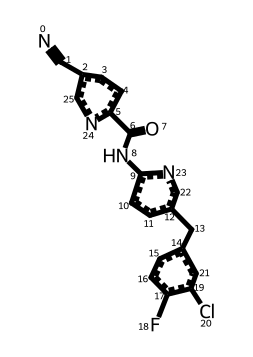 N#Cc1ccc(C(=O)Nc2ccc(Cc3ccc(F)c(Cl)c3)cn2)nc1